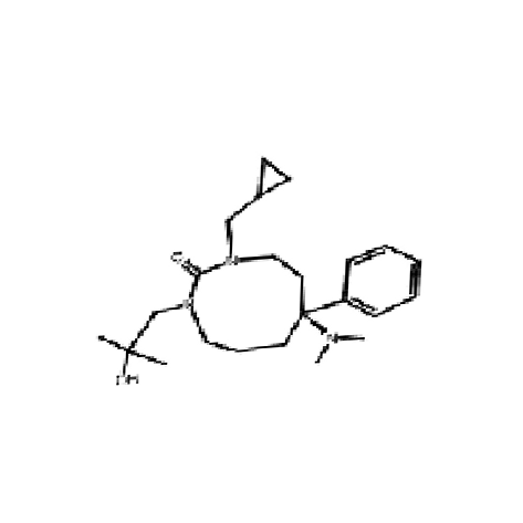 CN(C)[C@@]1(c2ccccc2)CCCN(CC(C)(C)O)C(=O)N(CC2CC2)CC1